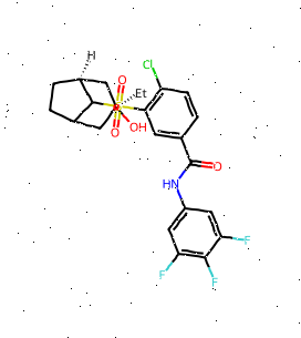 CC[C@]1(O)CC2CC[C@@H](C1)C2S(=O)(=O)c1cc(C(=O)Nc2cc(F)c(F)c(F)c2)ccc1Cl